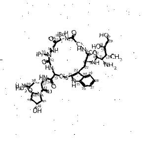 CC[C@H](C)[C@@H]1NC(=O)CNC(=O)[C@@H](NC(=O)[C@@H](N)[C@@H](C)[C@@H](O)CO)Cc2c([nH]c3ccccc23)SCC(C(=O)N[C@@H](CC(N)=O)C(=O)N2C[C@H](O)C[C@H]2C(=O)O)NC(=O)N(C(C)C)NC1=O